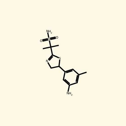 Cc1cc(N)cc(C2CN=C(C(C)(C)S(N)(=O)=O)S2)c1